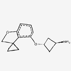 N[C@H]1C[C@H](Oc2cccc3c2C2(CC2)CO3)C1